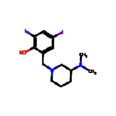 CN(C)C1CCCN(Cc2cc(I)cc(I)c2O)C1